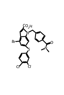 CN(C)C(=O)c1ccc(Cn2c(C(=O)O)cc3c(Br)cc(Sc4ccc(Cl)c(Cl)c4)cc32)cc1